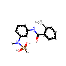 CN(c1cccc(NC(=O)c2ccccc2C(=O)O)c1)S(C)(=O)=O